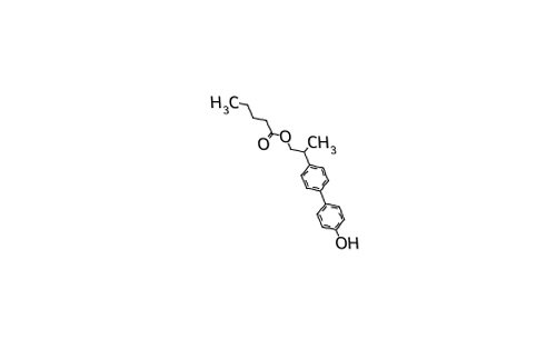 CCCCC(=O)OCC(C)c1ccc(-c2ccc(O)cc2)cc1